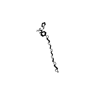 CN[C@H](CN1CCCC1)C1(C)C=CC(OCCOCCOCCOCCOCCOC)=CC1